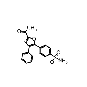 CC(=O)c1nc(-c2ccccc2)c(-c2ccc(S(N)(=O)=O)cc2)o1